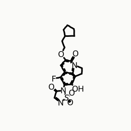 O=C1C=NS(=O)(=O)N1c1c(O)c2c3c(cc(OCCC4CCCC4)c(=O)n3CC2)c1F